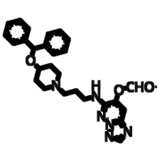 O=[C]Oc1cc2ncnn2nc1NCCCN1CCC(OC(c2ccccc2)c2ccccc2)CC1